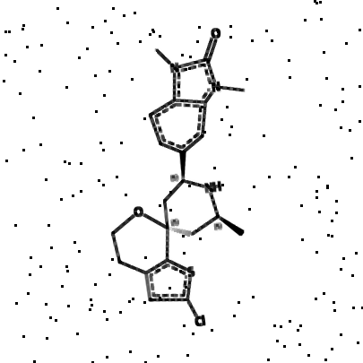 C[C@H]1C[C@@]2(C[C@@H](c3ccc4c(c3)n(C)c(=O)n4C)N1)OCCc1cc(Cl)sc12